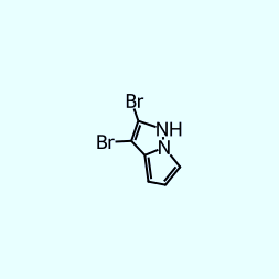 Brc1[nH]n2cccc2c1Br